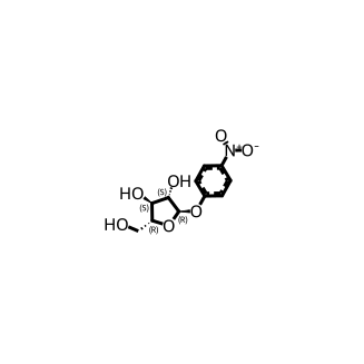 O=[N+]([O-])c1ccc(O[C@H]2O[C@H](CO)[C@@H](O)[C@@H]2O)cc1